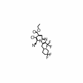 CCOC(=O)c1cc2nc(C(F)(F)F)c(CC3CCC(F)(F)CC3)n2c(C#N)c1Cl